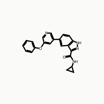 O=C(NC1CC1)c1n[nH]c2ccc(-c3cncc(Oc4ccccc4)c3)cc12